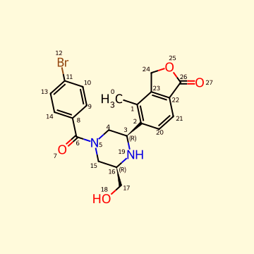 Cc1c([C@@H]2CN(C(=O)c3ccc(Br)cc3)C[C@H](CO)N2)ccc2c1COC2=O